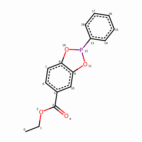 CCOC(=O)c1ccc2c(c1)OP(c1ccccc1)O2